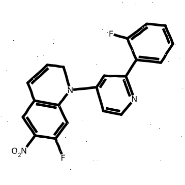 O=[N+]([O-])c1cc2c(cc1F)N(c1ccnc(-c3ccccc3F)c1)CC=C2